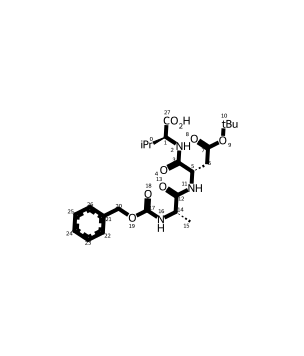 CC(C)[C@H](NC(=O)[C@H](CC(=O)OC(C)(C)C)NC(=O)[C@H](C)NC(=O)OCc1ccccc1)C(=O)O